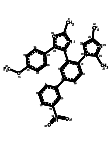 Cc1nc(-c2cc(-c3cccc([SH](=O)=O)c3)ccc2-n2cc(C(F)(F)F)nc2C)c(-c2ccc(OC(F)(F)F)cc2)o1